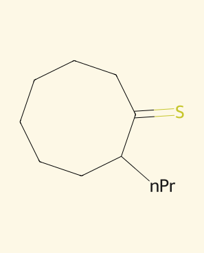 [CH2]CCC1CCCCCCC1=S